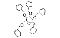 c1ccc(COC[C@H]2O[C@@H](Sc3ccccc3)[C@H](OCc3ccccc3)[C@@H](OCc3ccccc3)[C@@H]2OCc2ccccc2)cc1